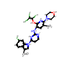 O=Cc1cn(-c2ccnc(Nc3cc([N+](=O)[O-])c(N4CCOCC4)nc3OC(F)C(F)F)n2)c2cc(F)ccc12